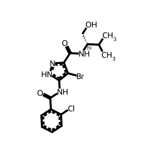 CC(C)[C@@H](CO)NC(=O)c1n[nH]c(NC(=O)c2ccccc2Cl)c1Br